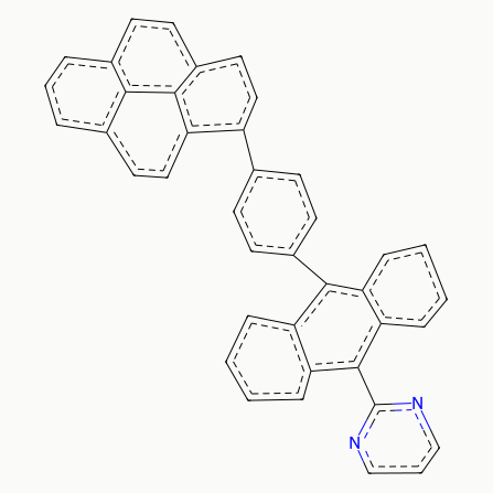 c1cnc(-c2c3ccccc3c(-c3ccc(-c4ccc5ccc6cccc7ccc4c5c67)cc3)c3ccccc23)nc1